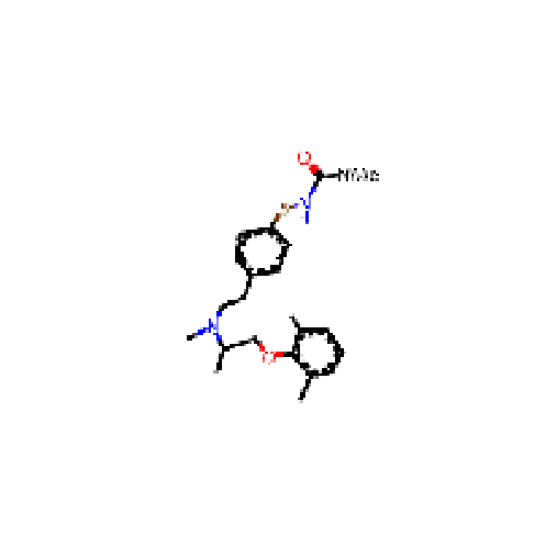 CNC(=O)NSc1ccc(CCN(C)C(C)COc2c(C)cccc2C)cc1